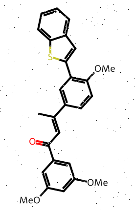 COc1cc(OC)cc(C(=O)C=C(C)c2ccc(OC)c(-c3cc4ccccc4s3)c2)c1